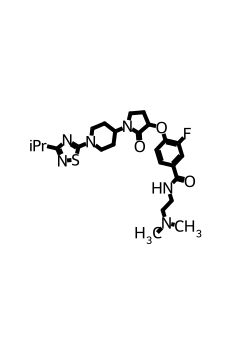 CC(C)c1nsc(N2CCC(N3CCC(Oc4ccc(C(=O)NCCN(C)C)cc4F)C3=O)CC2)n1